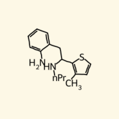 CCCNC(Cc1ccccc1N)c1sccc1C